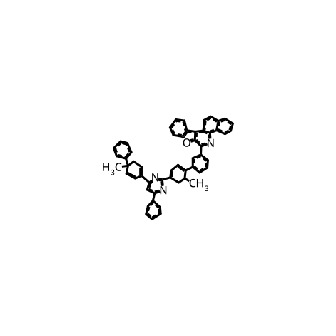 CC1CC(c2nc(C3=CCC(C)(c4ccccc4)C=C3)cc(-c3ccccc3)n2)=CC=C1c1cccc(-c2nc3c4ccccc4ccc3c3c2oc2ccccc23)c1